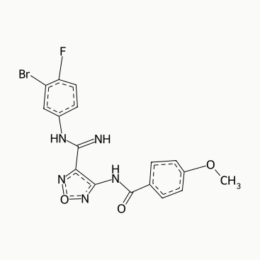 COc1ccc(C(=O)Nc2nonc2C(=N)Nc2ccc(F)c(Br)c2)cc1